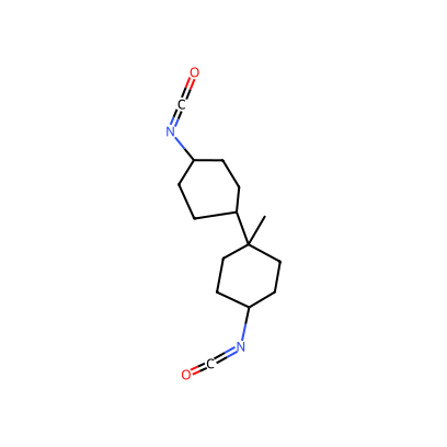 CC1(C2CCC(N=C=O)CC2)CCC(N=C=O)CC1